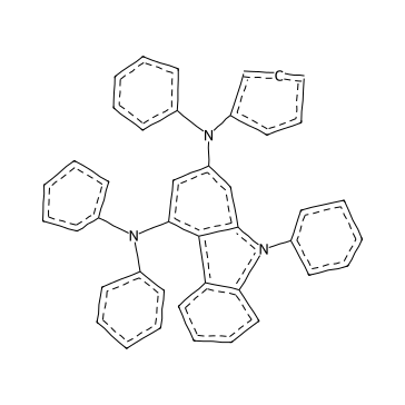 c1ccc(N(c2ccccc2)c2cc(N(c3ccccc3)c3ccccc3)c3c4ccccc4n(-c4ccccc4)c3c2)cc1